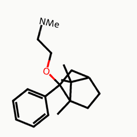 CNCCOC1(c2ccccc2)CC2CCC1(C)C2(C)C